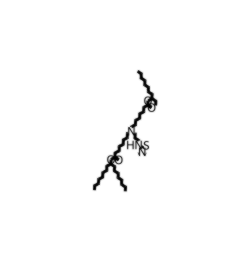 CCCCCCCCC(CC)OC(=O)CCCCCCCN(CCCCCCCC(=O)OC(CCCCCCCC)CCCCCCCC)CCCNC(=S)N(C)C